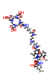 C=C1CC(CC)CCC1(NC(=O)c1cc(-c2c(OC)cccc2OC)n(-c2ccc(C(=O)N(C)CCCN(C)CCCN(C)C(=O)CCCCCNC(=O)CN3CCN(CC(=O)O)CCN(CC(=O)O)CCN(CC(=O)O)CC3)cc2C(C)C)n1)C(=O)O